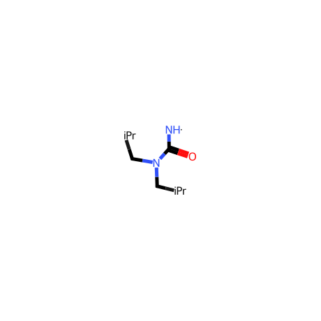 CC(C)CN(CC(C)C)C([NH])=O